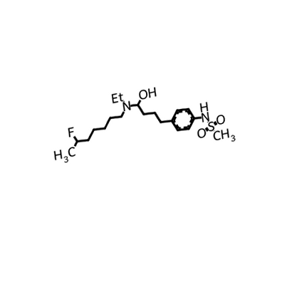 CCN(CCCCCC(C)F)C(O)CCCc1ccc(NS(C)(=O)=O)cc1